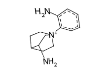 Nc1ccccc1[N+]12CCC(CC1)C(N)C2